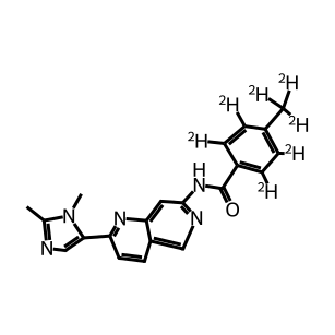 [2H]c1c([2H])c(C([2H])([2H])[2H])c([2H])c([2H])c1C(=O)Nc1cc2nc(-c3cnc(C)n3C)ccc2cn1